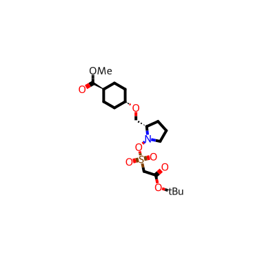 COC(=O)[C@H]1CC[C@H](OC[C@@H]2CCCN2OS(=O)(=O)CC(=O)OC(C)(C)C)CC1